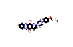 COc1ccc(N2CCN(c3ccc4c(n3)C(=O)c3nc5ccccc5nc3C4=O)CC2)cc1